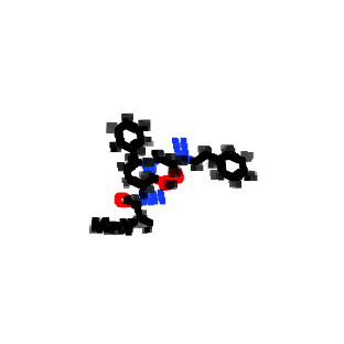 CN[C@@H](C)C(=O)Nc1ccc(-c2ccccc2)n(CC(=O)NCCc2ccccc2)c1=O